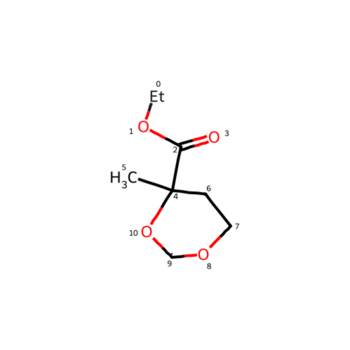 CCOC(=O)C1(C)CCO[CH]O1